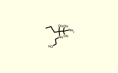 CCCC(O)(NCCO)C(N)(O)O